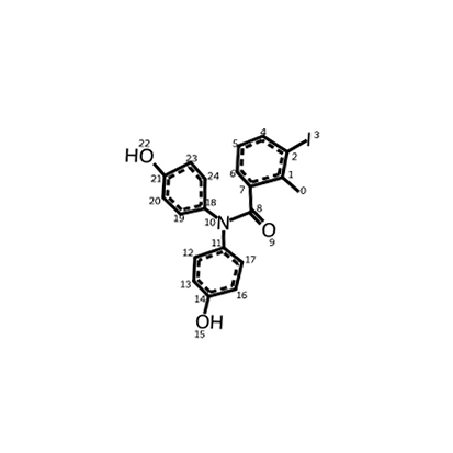 Cc1c(I)cccc1C(=O)N(c1ccc(O)cc1)c1ccc(O)cc1